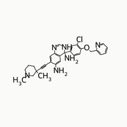 CN1CCCC(C)(C#Cc2cc3c(cc2N)C(N)(c2ccc(OCc4ccccn4)c(Cl)c2)NC=N3)C1